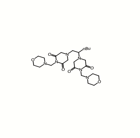 CCCCC(CN1CC(=O)N(CN2CCOCC2)C(=O)C1)N1CC(=O)N(CN2CCOCC2)C(=O)C1